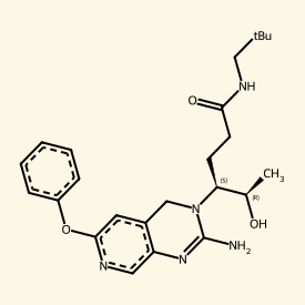 C[C@@H](O)[C@H](CCC(=O)NCC(C)(C)C)N1Cc2cc(Oc3ccccc3)ncc2N=C1N